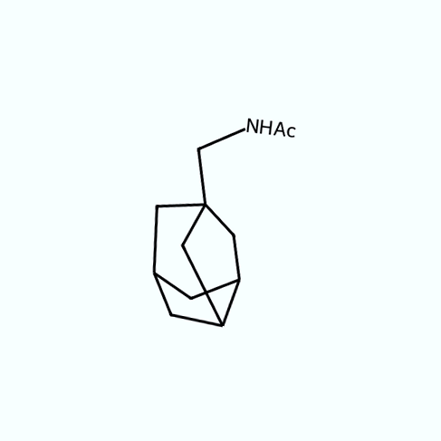 CC(=O)NCC12CC3CC(C1)C(C3)C2